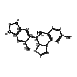 Brc1ccc2c(c1)C1C=CCC1C(c1cc3c(cc1Br)OCO3)N2